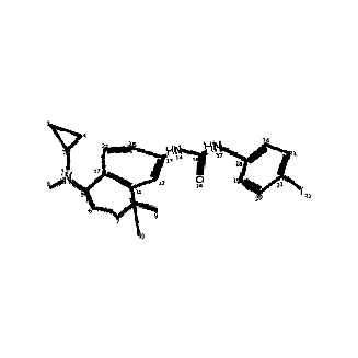 CN(C1CC1)C1CCC(C)(C)c2cc(NC(=O)Nc3ccc(I)cc3)ccc21